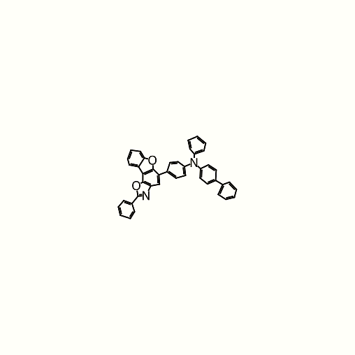 c1ccc(-c2ccc(N(c3ccccc3)c3ccc(-c4cc5nc(-c6ccccc6)oc5c5c4oc4ccccc45)cc3)cc2)cc1